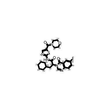 O=C(Nc1ncc(C(=O)N2CCOCC2)s1)C(CC1CCCCC1)n1cnc2ccc(F)cc2c1=O